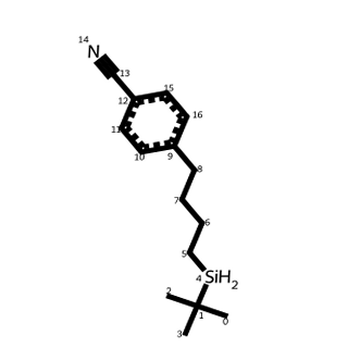 CC(C)(C)[SiH2]CCCCc1ccc(C#N)cc1